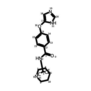 O=C(NC1CC2CCN(CC2)C1)c1ccc(Oc2cnc[nH]2)cc1